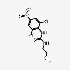 NCCNC(=S)Nc1c(Cl)cc([N+](=O)[O-])cc1Cl